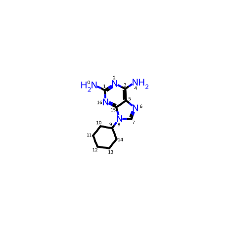 Nc1nc(N)c2ncn(C3CCCCC3)c2n1